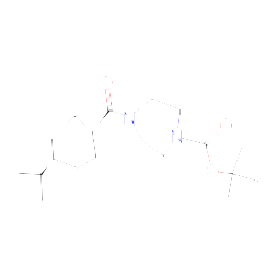 CC(C)[C@H]1CC[C@@H](C(=O)N2CCN(C(=O)OC(C)(C)C)[C@@H](C)C2)CC1